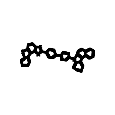 c1ccc2c(c1)ccc1c2c2ccccc2n1-c1ccc(-c2ccc(-c3nc4c(ccc5sc6ccccc6c54)s3)cc2)cc1